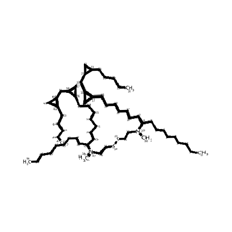 CCCCCCCCCC(CCCCCCCC1CC1CC1CC1CCCCC)N(C)CCSSCCN(C)C(CCCCCCCCC)CCCCCCCC1CC1CC1CC1CCCCC